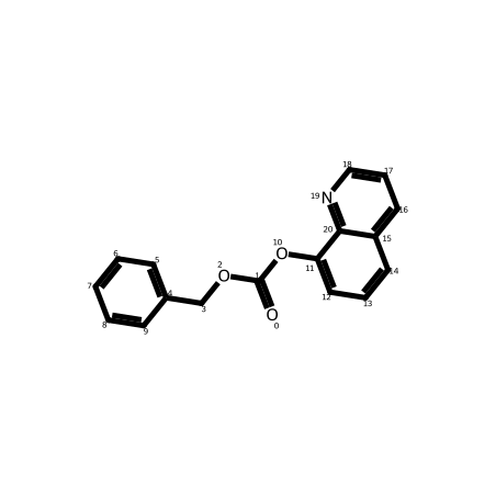 O=C(OCc1ccccc1)Oc1cccc2cccnc12